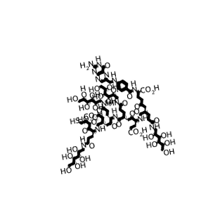 Nc1nc2ncc(CNc3ccc(C(=O)N[C@@H](CCC(=O)C[C@@H](CCC(=O)NC[C@H](O)[C@@H](O)[C@H](O)[C@H](O)CO)C(=O)N[C@@H](CCC(=O)O)C(=O)C[C@@H](CCC(=O)NC[C@H](O)[C@@H](O)[C@H](O)[C@H](O)CO)C(=O)N[C@@H](CCC(=O)NC[C@H](O)[C@@H](O)[C@H](O)[C@H](O)CO)C(=O)C[C@@H](CCC(=O)O)C(=O)N[C@@H](CCC(=O)NC[C@H](O)[C@@H](O)[C@H](O)[C@H](O)CO)C(=O)C[C@@H](CS)C(=O)O)C(=O)O)cc3)nc2c(=O)[nH]1